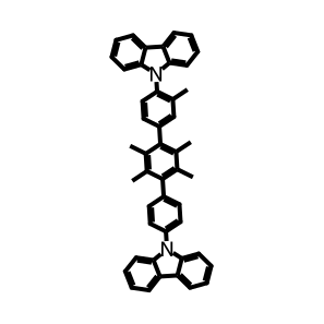 Cc1cc(-c2c(C)c(C)c(-c3ccc(-n4c5ccccc5c5ccccc54)cc3)c(C)c2C)ccc1-n1c2ccccc2c2ccccc21